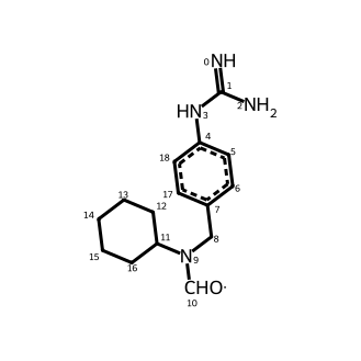 N=C(N)Nc1ccc(CN([C]=O)C2CCCCC2)cc1